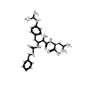 CC(C)C[C@H](NC(=O)C(O)C(Cc1ccc(OC(C)C)cc1)NC(=O)OCc1ccccc1)C(=O)O